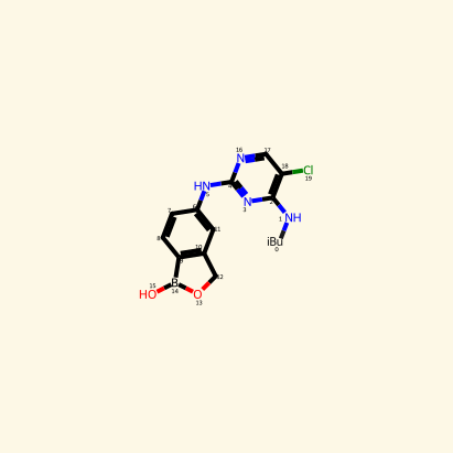 CCC(C)Nc1nc(Nc2ccc3c(c2)COB3O)ncc1Cl